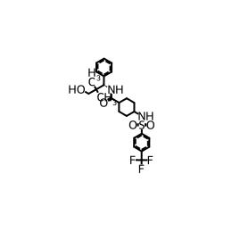 CC(C)(CO)[C@@H](NC(=O)C1CCC(NS(=O)(=O)c2ccc(C(F)(F)F)cc2)CC1)c1ccccc1